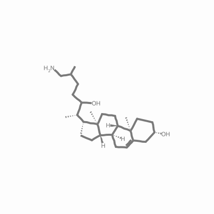 CC(CN)CCC(O)[C@@H](C)[C@H]1CC[C@H]2[C@@H]3CC=C4C[C@@H](O)CC[C@]4(C)[C@H]3CC[C@]12C